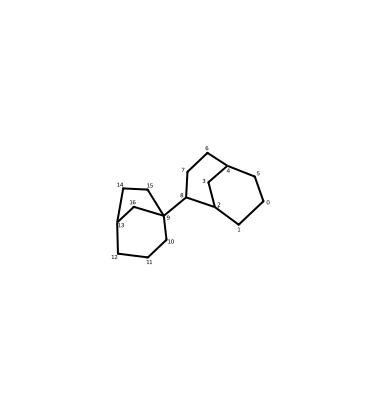 C1C[C]2CC(C1)CCC2C12CCCC(CC1)C2